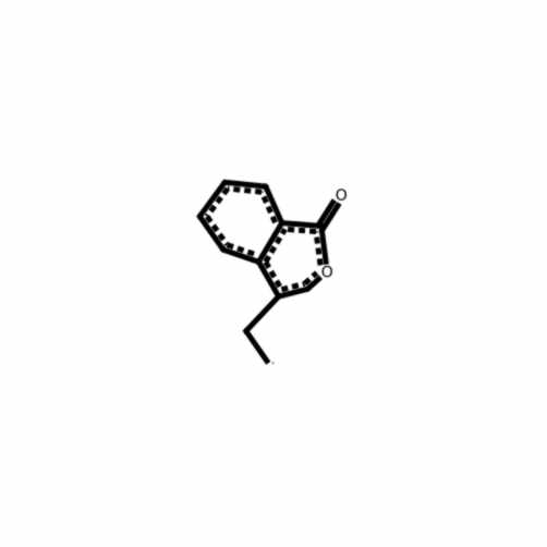 [CH2]Cc1coc(=O)c2ccccc12